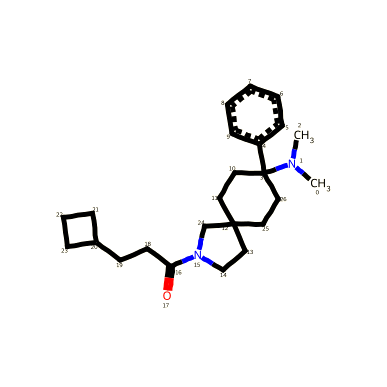 CN(C)C1(c2ccccc2)CCC2(CCN(C(=O)CCC3CCC3)C2)CC1